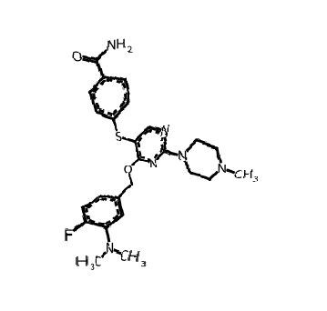 CN1CCN(c2ncc(Sc3ccc(C(N)=O)cc3)c(OCc3ccc(F)c(N(C)C)c3)n2)CC1